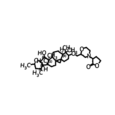 CC1C[C@@H](C)[C@H]2C(O1)[C@H](O)[C@@]1(C)C3CC[C@H]4C(C)(C)C(OCC5CN(C6CCOC6=O)CCO5)CCC45CC35CCC21C